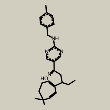 CCC(C/C(=N\O)c1cnc(NCc2ccc(C)cc2)nc1)C1=CCCC(C)(C)C=C1